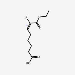 CCOC(=O)/C(F)=C\CCCCC(=O)O